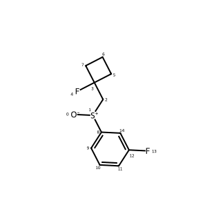 [O-][S+](CC1(F)CCC1)c1cccc(F)c1